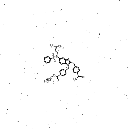 COC(=O)c1ccc(Cn2c(Cc3ccc(C(=N)N)cc3)nc3cc(N(CCN(C)C)S(=O)(=O)c4ccccc4)ccc32)cc1.Cl.Cl